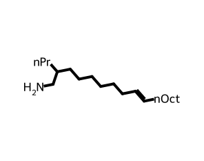 CCCCCCCC/C=C/CCCCCCC(CN)CCC